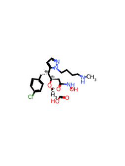 CNCCCCn1nccc1[C@@H](Cc1ccc(Cl)cc1)[C@@H](CC(=O)NO)OC.O=CO